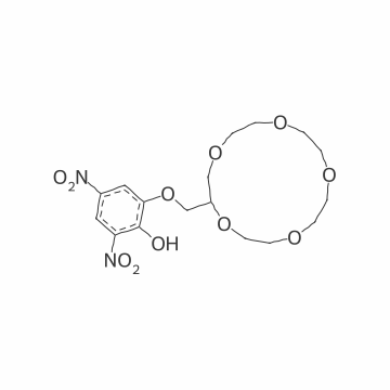 O=[N+]([O-])c1cc(OCC2COCCOCCOCCOCCO2)c(O)c([N+](=O)[O-])c1